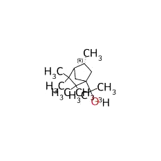 [3H]OC(C)(C)C12CC([C@H](C)C1)C(C)(C)C2(C)C